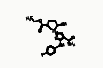 CCOC(=O)N1CCC(=N)[C@H](n2cc(C(N)=O)c(Nc3ccc(F)cc3)n2)C1